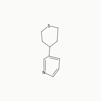 c1cncc(C2CCSCC2)c1